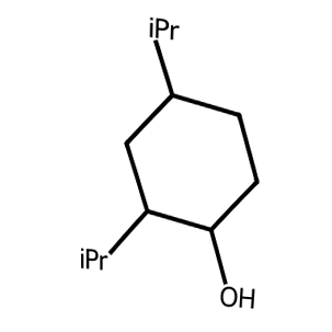 CC(C)C1CCC(O)C(C(C)C)C1